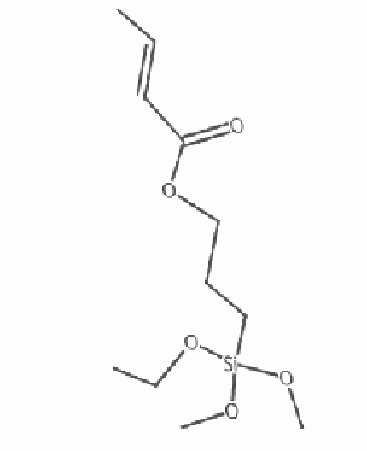 CC=CC(=O)OCCC[Si](OC)(OC)OCC